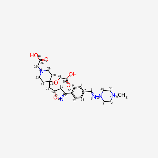 CN1CCN(/N=C/c2ccc(C3=NOC(CC4(OCC(=O)O)CCN(CC(=O)O)CC4)C3)cc2)CC1